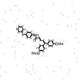 COc1ccc(C(=CC=CC(=O)Nc2ccc(Cc3cccnc3)cc2)c2ccc(OC)cc2)cc1